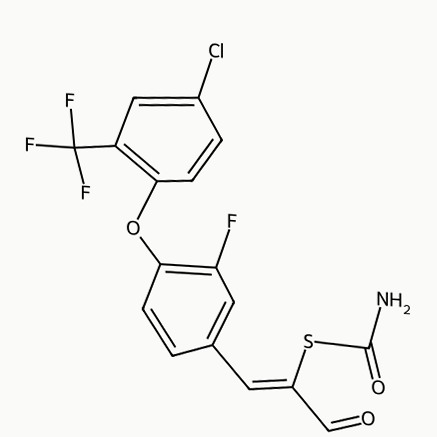 NC(=O)S/C(C=O)=C\c1ccc(Oc2ccc(Cl)cc2C(F)(F)F)c(F)c1